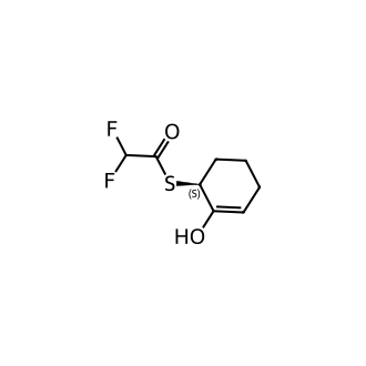 O=C(S[C@H]1CCCC=C1O)C(F)F